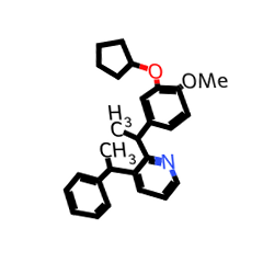 COc1ccc(C(C)c2ncccc2C(C)c2ccccc2)cc1OC1CCCC1